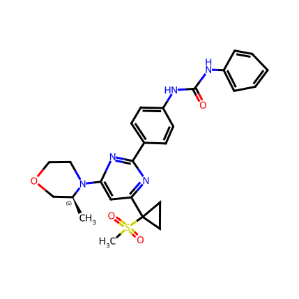 C[C@H]1COCCN1c1cc(C2(S(C)(=O)=O)CC2)nc(-c2ccc(NC(=O)Nc3ccccc3)cc2)n1